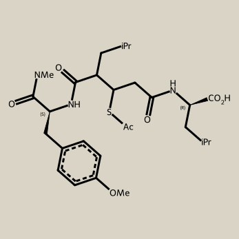 CNC(=O)[C@H](Cc1ccc(OC)cc1)NC(=O)C(CC(C)C)C(CC(=O)N[C@H](CC(C)C)C(=O)O)SC(C)=O